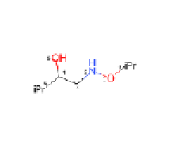 CC(C)ONCC(O)C(C)C